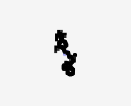 CN(C/C=C/c1ccc(C(F)(F)F)cc1F)Cc1coc2ccccc12